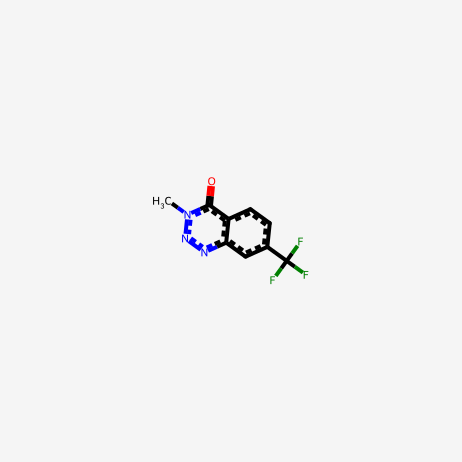 Cn1nnc2cc(C(F)(F)F)ccc2c1=O